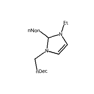 CCCCCCCCCCCN1C=CN(CC)C1CCCCCCCCC